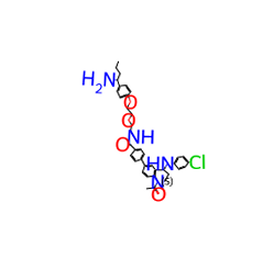 CCCC(N)c1ccc(OCCOCCNC(=O)c2ccc(-c3ccc4c(c3)C(Nc3ccc(Cl)cc3)C[C@H](C)N4C(C)=O)cc2)cc1